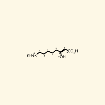 CCCCCCCCCCCC(O)=CC(=O)O